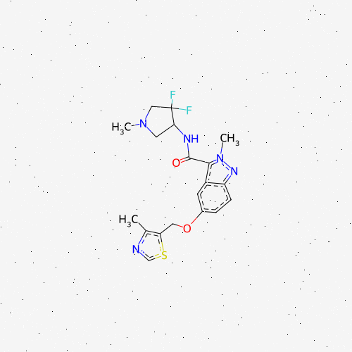 Cc1ncsc1COc1ccc2nn(C)c(C(=O)NC3CN(C)CC3(F)F)c2c1